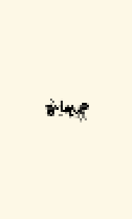 CC(c1nc2ccccc2[nH]1)c1nc2ccc(C(=O)NCCN3C(=O)COc4ccccc43)cc2n1C